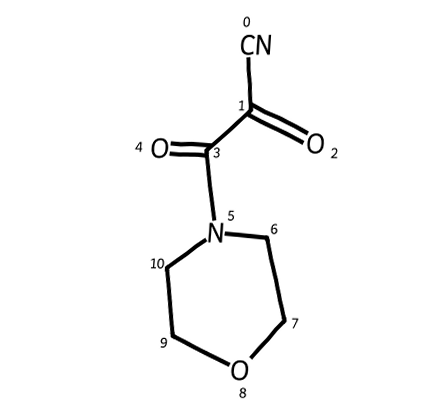 N#CC(=O)C(=O)N1CCOCC1